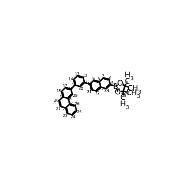 CC1(C)OB(c2ccc3cc(-c4cccc(-c5ccc6ccc7ccccc7c6c5)c4)ccc3c2)OC1(C)C